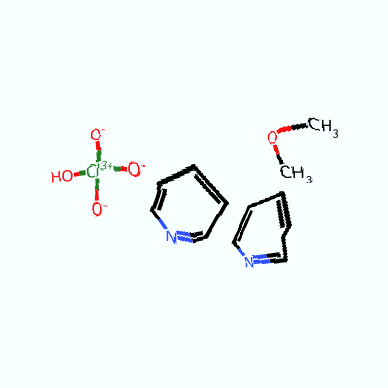 COC.[O-][Cl+3]([O-])([O-])O.c1ccncc1.c1ccncc1